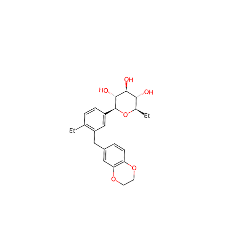 CCc1ccc([C@@H]2O[C@H](CC)[C@@H](O)[C@H](O)[C@H]2O)cc1Cc1ccc2c(c1)OCCO2